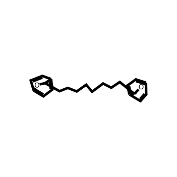 c1cc2ccc1O[C]2CCCCCCCC[C]1Oc2ccc1cc2